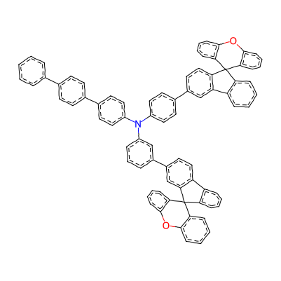 c1ccc(-c2ccc(-c3ccc(N(c4ccc(-c5ccc6c(c5)-c5ccccc5C65c6ccccc6Oc6ccccc65)cc4)c4cccc(-c5ccc6c(c5)C5(c7ccccc7Oc7ccccc75)c5ccccc5-6)c4)cc3)cc2)cc1